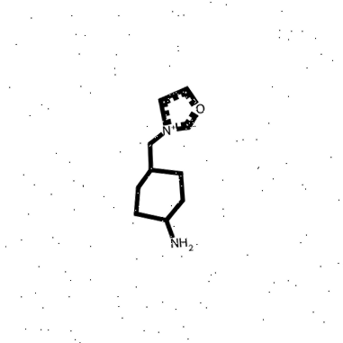 NC1CCC(C[n+]2ccoc2)CC1